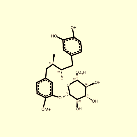 COc1ccc(C[C@@H](C)[C@@H](C)Cc2ccc(O)c(O)c2)cc1O[C@@H]1O[C@H](C(=O)O)[C@@H](O)[C@H](O)[C@H]1O